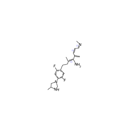 C=C(/C=C\C=N/C)/C(N)=C(\C)CCc1cc(F)c(N2CNC(C)C2)cc1F